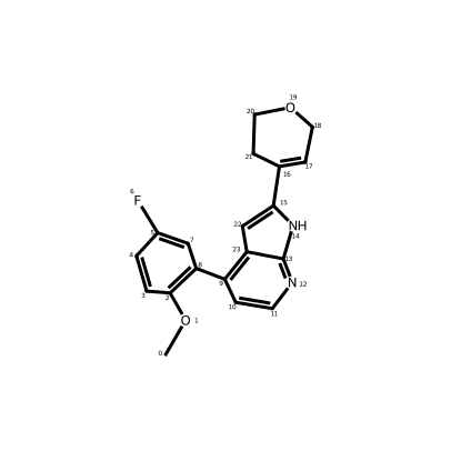 COc1ccc(F)cc1-c1ccnc2[nH]c(C3=CCOCC3)cc12